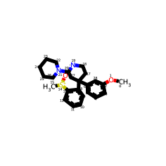 COc1cccc(C2(c3ccccc3[S+](C)[O-])CC[N]C(N3CCCCC3)C2)c1